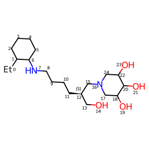 CCC1CCCCC1NCCCC[C@H](CO)CN1CC(O)C(O)C(O)C1